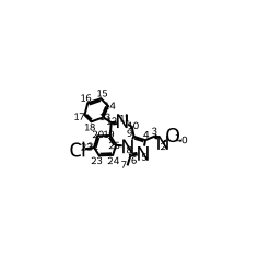 CO/N=C/c1nc(C)n2c1CN=C(c1ccccc1)c1cc(Cl)ccc1-2